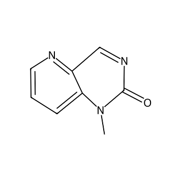 Cn1c(=O)ncc2ncccc21